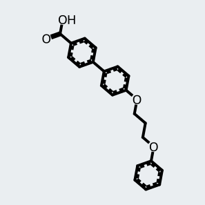 O=C(O)c1ccc(-c2ccc(OCCCOc3ccccc3)cc2)cc1